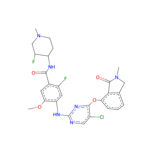 COc1cc(C(=O)NC2CCN(C)CC2F)c(F)cc1Nc1ncc(Cl)c(Oc2cccc3c2C(=O)N(C)C3)n1